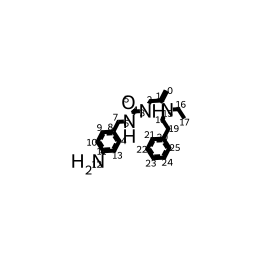 C=C(CNC(=O)NCc1ccc(N)cc1)N(CC)CCc1ccccc1